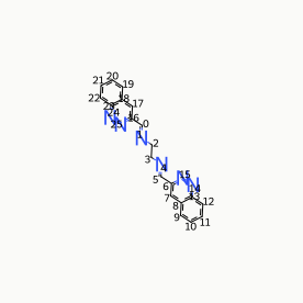 C(=NCCN=Cc1cc2ccccc2nn1)c1cc2ccccc2nn1